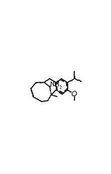 COc1cc2c(cc1C(C)C)CC1CCCCCC2(C)C1N